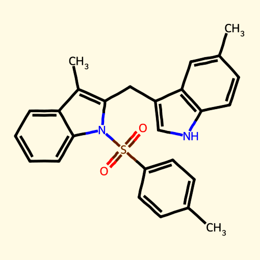 Cc1ccc(S(=O)(=O)n2c(Cc3c[nH]c4ccc(C)cc34)c(C)c3ccccc32)cc1